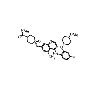 CNC(=O)N1CCS(=O)(=Nc2cc(C)c3c(Nc4ccc(F)cc4O[C@H]4CC[C@H](OC)CC4)ncnc3c2)CC1